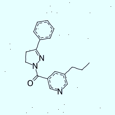 CCCc1cncc(C(=O)N2CCC(c3ccccc3)=N2)c1